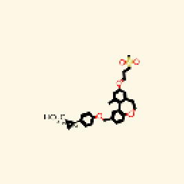 Cc1cc(OCCCS(C)(=O)=O)cc2c1-c1cc(COc3ccc([C@H]4C[C@@H]4C(=O)O)cc3)ccc1OCC2